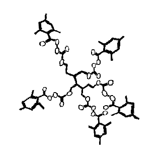 Cc1cc(C)c(C(=O)OOC(=O)OCCC(COC(=O)OOC(=O)c2c(C)cc(C)cc2C)C(COC(=O)OOC(=O)c2c(C)cc(C)cc2C)C(CCOC(=O)OOC(=O)c2c(C)cc(C)cc2C)COC(=O)OOC(=O)c2c(C)cc(C)cc2C)c(C)c1